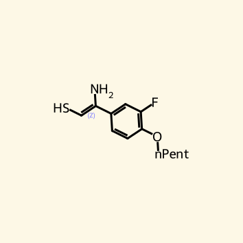 CCCCCOc1ccc(/C(N)=C/S)cc1F